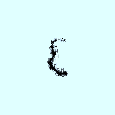 CC(=O)NCCCN(C)CCCNC(=O)CCNC(=O)c1nc(NCCCNC(=O)c2cc(NC(=O)c3nc(NC(=O)CCNC(=O)c4cc(NC(=O)c5nccn5C)cn4C)cn3C)cn2C)cn1C